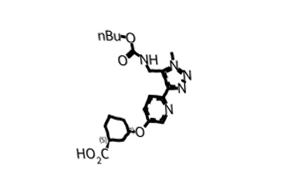 CCCCOC(=O)NCc1c(-c2ccc(O[C@@H]3CCC[C@H](C(=O)O)C3)cn2)nnn1C